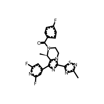 Cc1nsc(-c2nc(-c3cc(F)nc(F)c3)c3n2CCN(C(=O)c2ccc(F)cc2)[C@@H]3C)n1